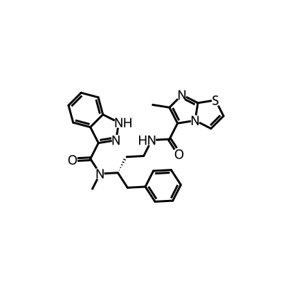 Cc1nc2sccn2c1C(=O)NCC[C@H](Cc1ccccc1)N(C)C(=O)c1n[nH]c2ccccc12